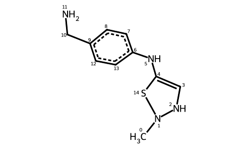 CN1NC=C(Nc2ccc(CN)cc2)S1